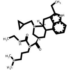 CCNC(=O)N(CCCN(C)C)C(=O)[C@@H]1CC2c3cccc4[nH]c(CC)c(c34)C[C@H]2N(CC2CC2)C1